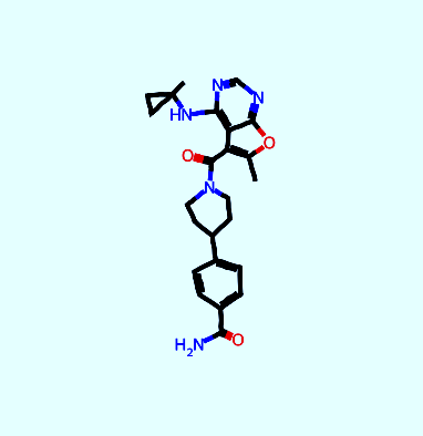 Cc1oc2ncnc(NC3(C)CC3)c2c1C(=O)N1CCC(c2ccc(C(N)=O)cc2)CC1